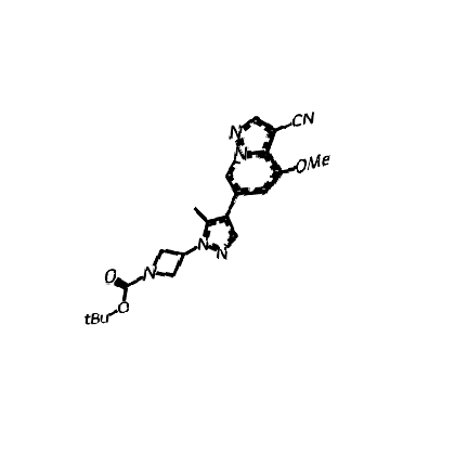 COc1cc(-c2cnn(C3CN(C(=O)OC(C)(C)C)C3)c2C)cn2ncc(C#N)c12